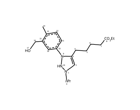 CCCN1C=C(CCCCC(=O)OCC)N(c2ccc(C)c(CO)c2)N1